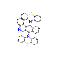 c1ccc2c(c1)Sc1ccccc1N2c1c2ccccc2c(N2c3ccccc3Sc3ccccc32)c2c1cnc1ccccc12